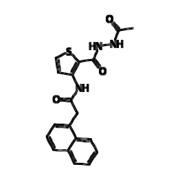 CC(=O)NNC(=O)c1sccc1NC(=O)Cc1cccc2ccccc12